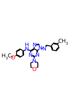 COc1ccc(Nc2nc(N3CCOCC3)nc3c2ncn3N=Cc2cccc(C)c2)cc1